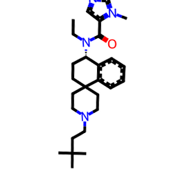 CCN(C(=O)c1cncn1C)[C@H]1CCC2(CCN(CCC(C)(C)C)CC2)c2ccccc21